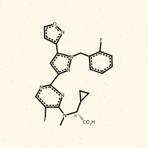 CN(c1nc(-c2cc(-c3ccon3)n(Cc3ccccc3F)n2)ncc1F)[C@@H](C(=O)O)C1CC1